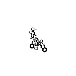 CC(=O)N(NCc1cccc(Cl)c1Cl)[C@@H](CCCC(=O)O)COC(=O)Nc1cc2ccccc2cn1